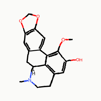 COc1c(O)cc2c3c1-c1cc4c(cc1C[C@@H]3N(C)CC2)OCO4